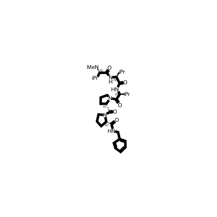 CN[C@H](C(=O)N[C@H](C(=O)N[C@H](C(=O)N1CCC[C@H]1C(=O)N1CCC[C@H]1C(=O)NCc1ccccc1)C(C)C)C(C)C)C(C)C